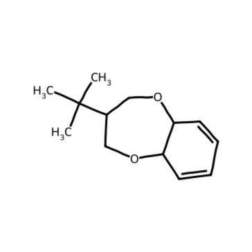 CC(C)(C)C1COC2C=CC=CC2OC1